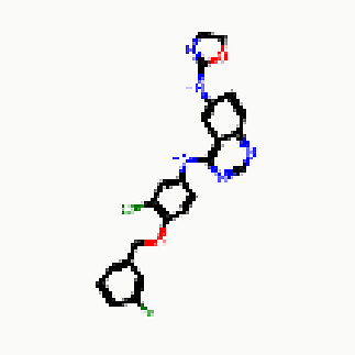 Fc1cccc(COc2ccc(Nc3ncnc4ccc(NC5=NCCO5)cc34)cc2Cl)c1